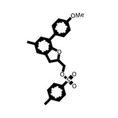 COc1ccc(-c2cc(C)cc3c2OC(COS(=O)(=O)c2ccc(C)cc2)C3)cc1